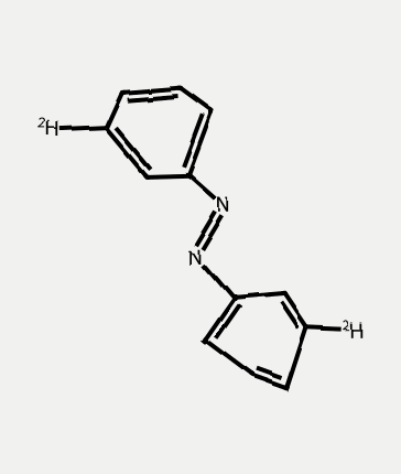 [2H]c1cccc(N=Nc2cccc([2H])c2)c1